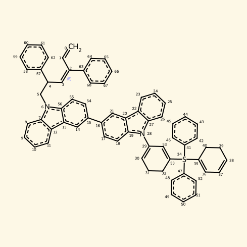 C=C/C(=C\C(Cn1c2ccccc2c2cc(-c3ccc4c(c3)c3ccccc3n4C3=CCCC(S(C4=CC=CCC4)(c4ccccc4)c4ccccc4)=C3)ccc21)c1ccccc1)c1ccccc1